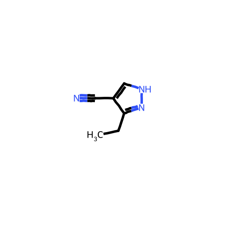 CCc1n[nH]cc1C#N